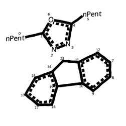 CCCCCc1nnc(CCCCC)o1.c1ccc2c(c1)Cc1ccccc1-2